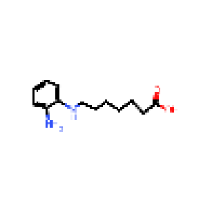 Nc1ccccc1NCCCCCCC(=O)O